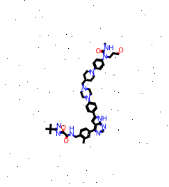 CNC(=O)N(CCC=O)c1ccc(N2CCC(CN3CCN(c4ccc(-c5cc6c(-c7ccc(CNC(=O)c8nc(C(C)(C)C)no8)c(C)c7)ncnc6[nH]5)cc4)CC3)CC2)cc1